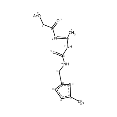 CC(=O)OCC(=O)N=C(C)NC(=O)NCc1ccc(C(F)(F)F)s1